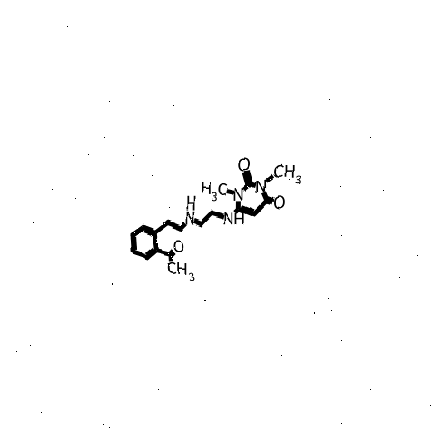 CC(=O)c1ccccc1CCNCCNc1cc(=O)n(C)c(=O)n1C